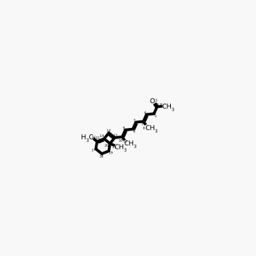 CC(=O)C/C=C(C)/C=C/C=C(\C)C1=CC2=C(C)CCCC12C